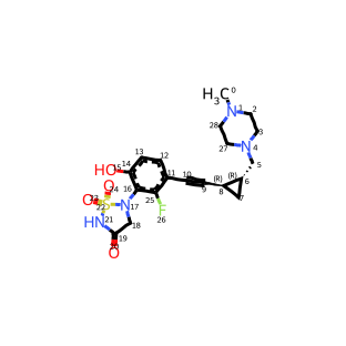 CN1CCN(C[C@@H]2C[C@H]2C#Cc2ccc(O)c(N3CC(=O)NS3(=O)=O)c2F)CC1